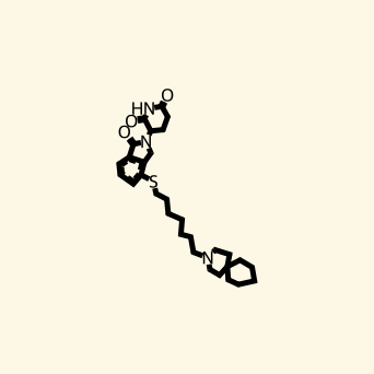 O=C1CCC(N2Cc3c(SCCCCCCCN4CCC5(CCCCC5)CC4)cccc3C2=O)C(=O)N1